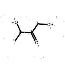 [CH2]C(O)C(=O)CO